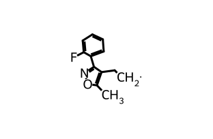 [CH2]Cc1c(-c2ccccc2F)noc1C